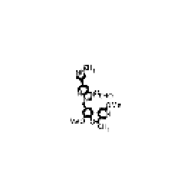 COc1ccc(C(C)Oc2ccc(CN3CN(OC=O)c4cc(-c5cnn(C)c5)cnc43)cc2OC)cn1